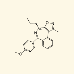 CCC[C@@H]1N=C(c2ccc(OC)cc2)c2ccccc2-c2c(C)noc21